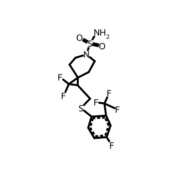 NS(=O)(=O)N1CCC2(CC1)C(CSc1ccc(F)cc1C(F)(F)F)C2(F)F